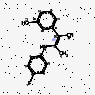 C/C(Nc1ccc(F)cc1)=C(\C#N)c1cccc(O)c1